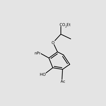 CCCc1c(OC(C)C(=O)OCC)ccc(C(C)=O)c1O